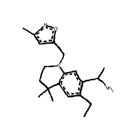 CCc1cc2c(cc1C(C)N)N(Cc1cc(C)no1)CCC2(C)C